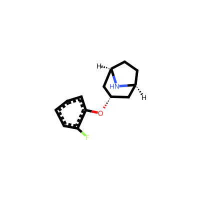 Fc1ccccc1O[C@@H]1C[C@H]2CC[C@@H](C1)N2